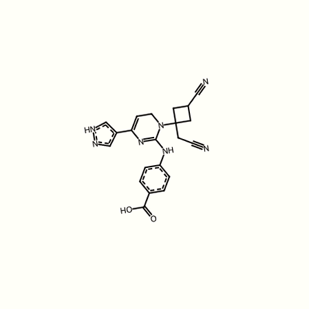 N#CCC1(N2CC=C(c3cn[nH]c3)N=C2Nc2ccc(C(=O)O)cc2)CC(C#N)C1